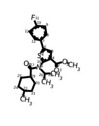 COC(=O)c1cc(-c2ccc(F)cc2)sc1N(C(=O)C1CCC(C)CC1)C(C)C